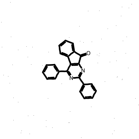 O=C1c2ccccc2-c2c1nc(-c1ccccc1)nc2-c1ccccc1